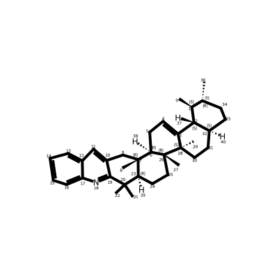 C[C@@H]1[C@H]2C3=CC[C@@H]4[C@@]5(C)Cc6cc7ccccc7nc6C(C)(C)[C@@H]5CC[C@@]4(C)[C@]3(C)CC[C@@H]2CC[C@H]1C